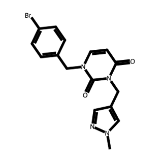 Cn1cc(Cn2c(=O)ccn(Cc3ccc(Br)cc3)c2=O)cn1